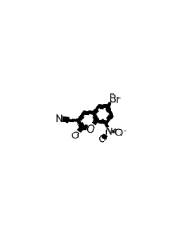 N#Cc1cc2cc(Br)cc([N+](=O)[O-])c2oc1=O